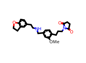 COc1cc(CNCCc2ccc3c(c2)CCO3)ccc1CCCN1C(=O)CCC1=O